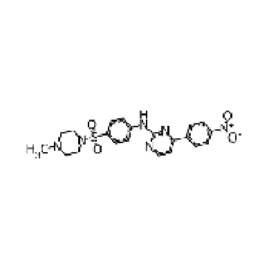 CN1CCN(S(=O)(=O)c2ccc(Nc3nccc(-c4ccc([N+](=O)[O-])cc4)n3)cc2)CC1